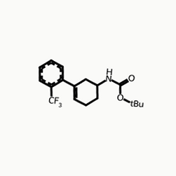 CC(C)(C)OC(=O)NC1CCC=C(c2ccccc2C(F)(F)F)C1